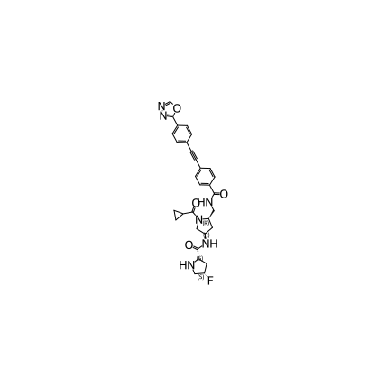 O=C(NC[C@H]1C[C@@H](NC(=O)[C@@H]2C[C@H](F)CN2)CN1C(=O)C1CC1)c1ccc(C#Cc2ccc(-c3nnco3)cc2)cc1